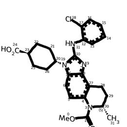 COC(=O)N1c2ccc3c(nc(Nc4ccccc4Cl)n3[C@H]3CC[C@H](C(=O)O)CC3)c2CC[C@@H]1C